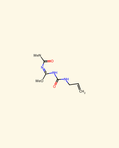 C=CCNC(=O)NC(=NC(=O)NC)OC